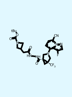 CC(C)(C)OC(=O)N1CC(CC(=O)NNC(=O)[C@]23CN(c4ccc(C#N)n5ncc(F)c45)C[C@@]2(C(F)(F)F)C3)C1